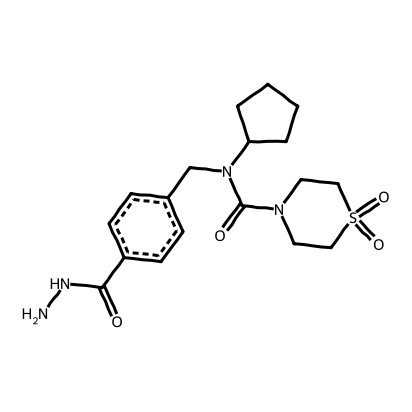 NNC(=O)c1ccc(CN(C(=O)N2CCS(=O)(=O)CC2)C2CCCC2)cc1